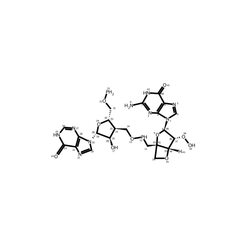 Nc1nc2c(ncn2[C@@H]2O[C@@]3(CPOC[C@H]4[C@@H](O)[C@H](n5cnc6c(=O)[nH]cnc65)O[C@@H]4COP)CO[C@H]3[C@H]2OO)c(=O)[nH]1